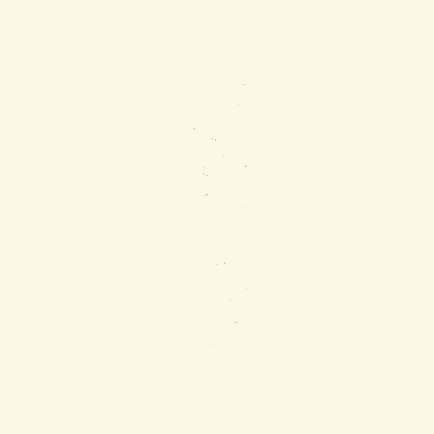 Cc1ccc(-c2cccc3c(C)c(-c4ccc(N5CC(C)OC(C)C5)nc4)cnc23)cc1